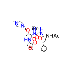 CC(=O)N[C@@H](CCc1ccccc1)C(=O)N[C@@H](CC(C)C)C(=O)N[C@H](C(=O)N[C@@H](CC(C)C)C(=O)[C@@]1(C)CO1)[C@@H](C)OCCN1CCN(C)CC1